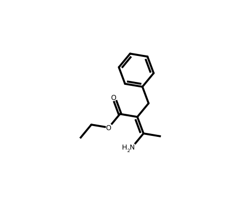 CCOC(=O)/C(Cc1ccccc1)=C(/C)N